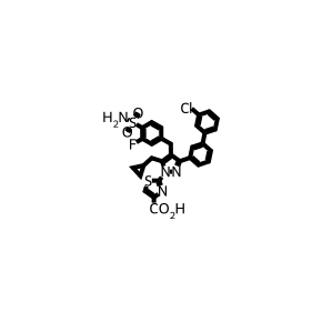 NS(=O)(=O)c1ccc(Cc2c(-c3cccc(-c4cccc(Cl)c4)c3)nn(-c3nc(C(=O)O)cs3)c2CC2CC2)cc1F